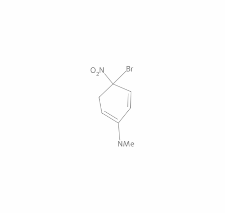 CNC1=CCC(Br)([N+](=O)[O-])C=C1